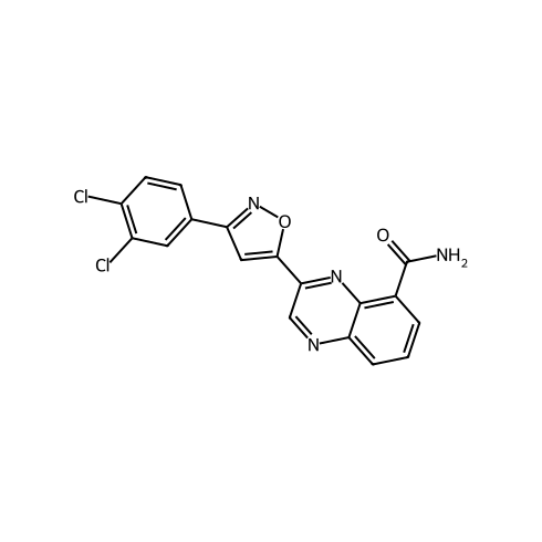 NC(=O)c1cccc2ncc(-c3cc(-c4ccc(Cl)c(Cl)c4)no3)nc12